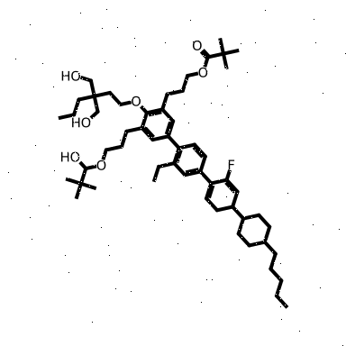 CCCCCC1CCC(C2C=C(F)C(c3ccc(-c4cc(CCCOC(=O)C(C)(C)C)c(OCCC(CO)(CO)CCC)c(CCCOC(O)C(C)(C)C)c4)c(CC)c3)=CC2)CC1